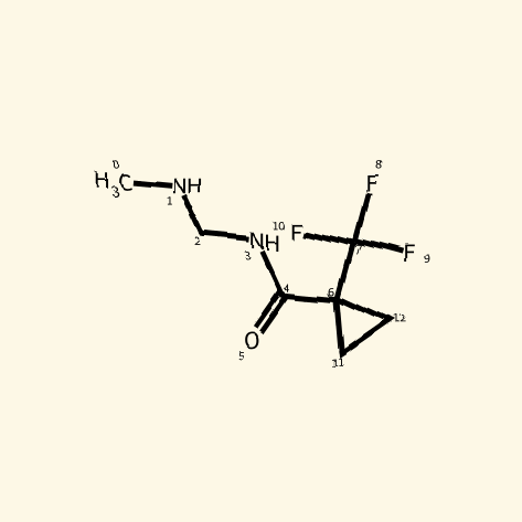 CNCNC(=O)C1(C(F)(F)F)CC1